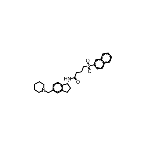 O=C(CCCS(=O)(=O)c1ccc2ccccc2c1)N[C@@H]1CCc2cc(CN3CCCCC3)ccc21